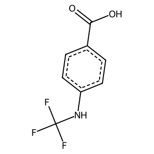 O=C(O)c1ccc(NC(F)(F)F)cc1